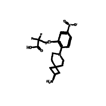 NC1CC2(CCN(c3ccc([N+](=O)[O-])cc3Cl)CC2)C1.O=C(O)C(F)(F)F